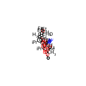 CCOC(C(OC)[C@@H](O)OC1C(C)C(N=[N+]=[N-])[C@@H](CC)O[C@H]1OC(=O)C1(C)CCC(C(C)C)CCC2=CCC3C4(C)CC[C@H](O[Si](CC)(CC)CC)[C@](C)(C=O)C4CC[C@@]3(C)[C@]2(C)CC1)[C@@H](CO[C@@H]1OC[C@@H](OCc2ccccc2)C(C)C1OCc1ccccc1)C(C)C